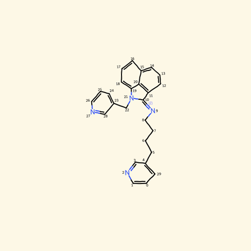 c1cncc(CCCC/N=C2/c3cccc4cccc(c34)N2Cc2cccnc2)c1